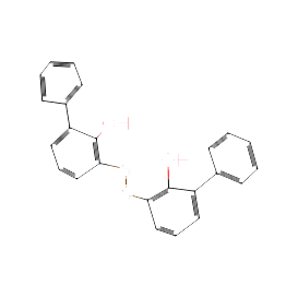 Oc1c(SSc2cccc(-c3ccccc3)c2O)cccc1-c1ccccc1